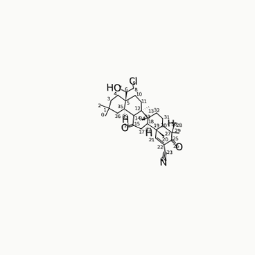 CC1(C)CC[C@]2(C(O)CCl)CC[C@]3(C)C(C(=O)C[C@@H]4[C@@]5(C)C=C(C#N)C(=O)C(C)(C)[C@@H]5CC[C@]43C)[C@H]2C1